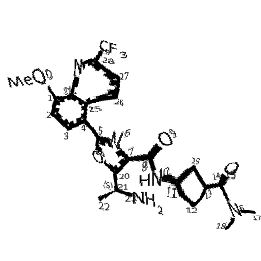 COc1ccc(-c2nc(C(=O)NC3CC(C(=O)N(C)C)C3)c([C@H](C)N)o2)c2ccc(C(F)(F)F)nc12